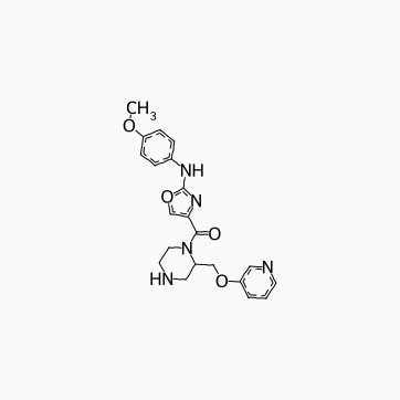 COc1ccc(Nc2nc(C(=O)N3CCNCC3COc3cccnc3)co2)cc1